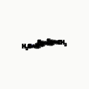 C/C=C/CCc1ccc(-c2ccc(C/C=C/Cc3ccc(CC/C=C/C)cc3F)cc2F)cc1